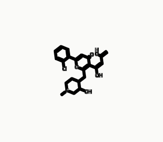 C=C(O)/C=C(/O)c1c(CC2CCN(C)CC2O)oc(-c2ccccc2Cl)cc1=O